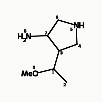 COC(C)C1CNCC1N